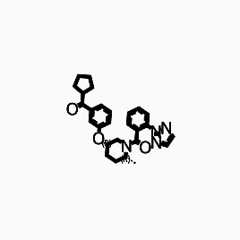 C[C@@H]1CC[C@@H](Oc2cccc(C(=O)C3CCCC3)c2)CN1C(=O)c1ccccc1-n1nccn1